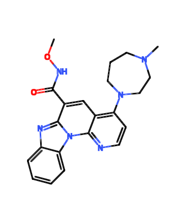 CONC(=O)c1cc2c(N3CCCN(C)CC3)ccnc2n2c1nc1ccccc12